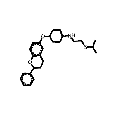 CC(C)SCCNC1CCC(Oc2ccc3c(c2)CCC(c2ccccc2)O3)CC1